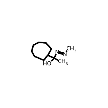 CN=NC(C)(O)C1CCCCCCC1